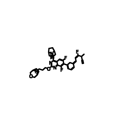 C#CC(C)/C(F)=C\C=C1\C=CC=C(c2c(F)cc3c(N4CC5CCC(C4)N5)nc(OCCCN4C5CCC4COC5)nc3c2F)C1